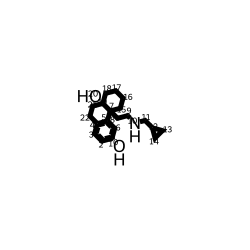 Oc1ccc2c(c1)C1(CCNCC3CC3)CCCCC1(O)CC2